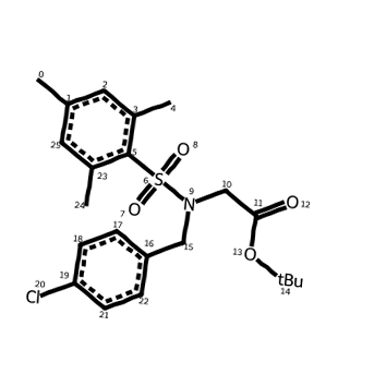 Cc1cc(C)c(S(=O)(=O)N(CC(=O)OC(C)(C)C)Cc2ccc(Cl)cc2)c(C)c1